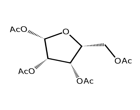 CC(=O)OC[C@H]1O[C@@H](OC(C)=O)[C@@H](OC(C)=O)[C@H]1OC(C)=O